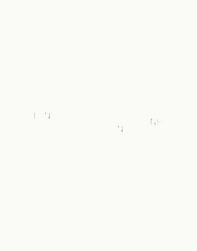 NCCCCN1C=CNC=C1